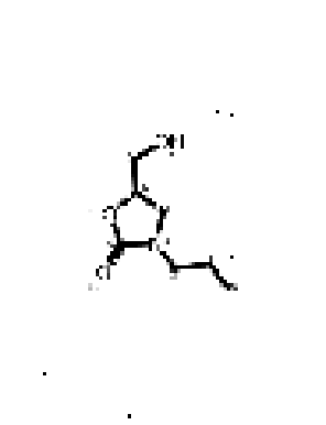 CCCN1CC(CO)OC1=O